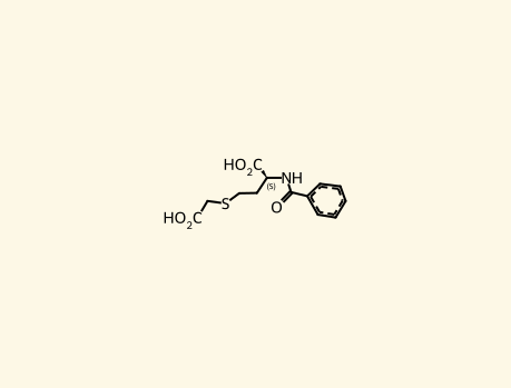 O=C(O)CSCC[C@H](NC(=O)c1ccccc1)C(=O)O